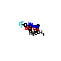 CC(C)(C)OC(=O)N1CCC[C@H]1CNc1nnc(-c2ccc(C(F)(F)F)cc2O)c2ccccc12